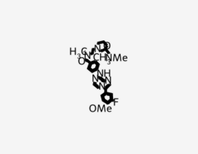 CNCC1CN(CCN(C)C(=O)c2ccc(Nc3nccn4c(-c5ccc(OC)c(F)c5)cnc34)cc2C)CCO1